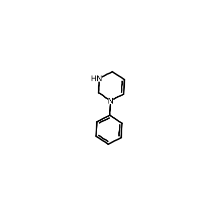 C1=CN(c2ccccc2)CNC1